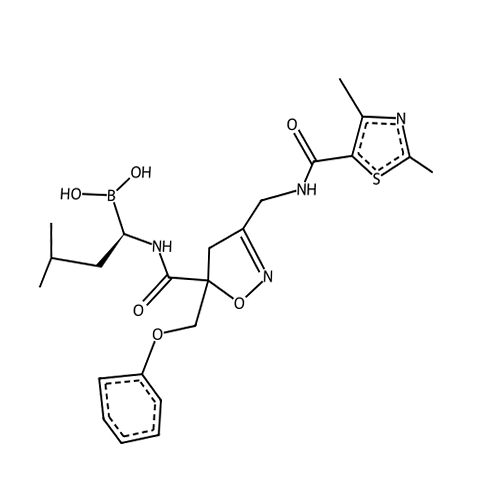 Cc1nc(C)c(C(=O)NCC2=NOC(COc3ccccc3)(C(=O)N[C@@H](CC(C)C)B(O)O)C2)s1